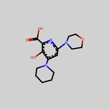 O=C(O)c1nc(N2CCOCC2)cc(N2CCCCC2)c1O